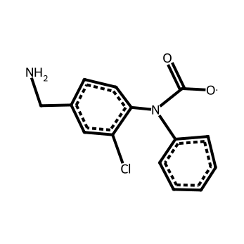 NCc1ccc(N(C([O])=O)c2ccccc2)c(Cl)c1